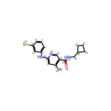 CC(C)c1cc(Nc2cccc(Br)c2)ncc1C(=O)NCC1CCC1